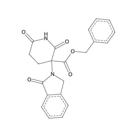 O=C1CCC(C(=O)OCc2ccccc2)(N2Cc3ccccc3C2=O)C(=O)N1